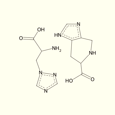 NC(Cn1cncn1)C(=O)O.O=C(O)C1Cc2[nH]cnc2CN1